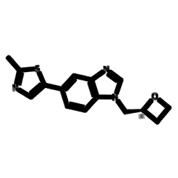 Cc1ncc(-c2ccc3c(c2)ncn3C[C@@H]2CCO2)s1